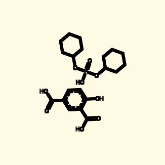 O=C(O)c1ccc(O)c(C(=O)O)c1.O=P(O)(OC1CCCCC1)OC1CCCCC1